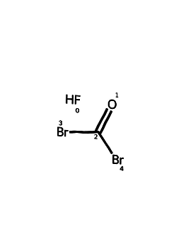 F.O=C(Br)Br